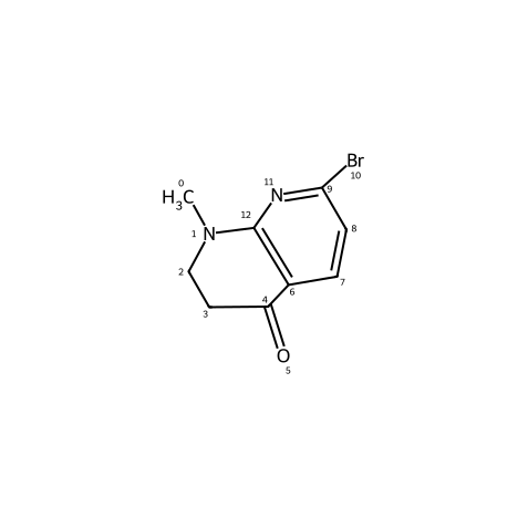 CN1CCC(=O)c2ccc(Br)nc21